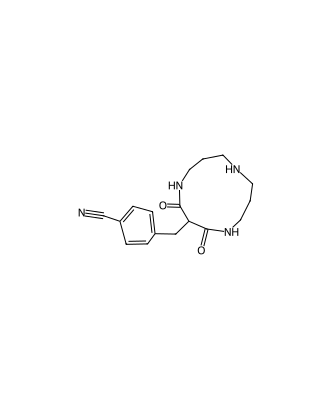 N#Cc1ccc(CC2C(=O)NCCCNCCCNC2=O)cc1